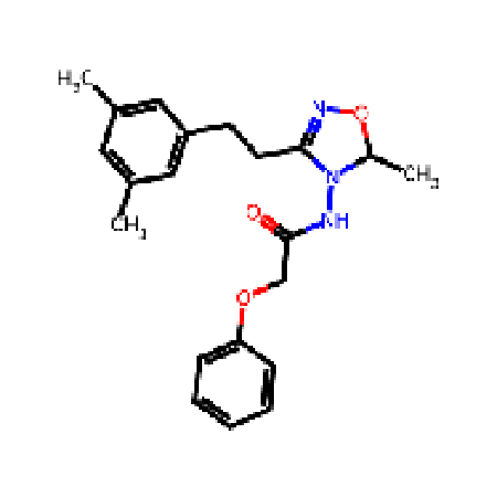 Cc1cc(C)cc(CCC2=NOC(C)N2NC(=O)COc2ccccc2)c1